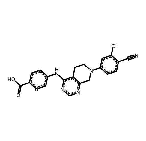 N#Cc1ccc(N2CCc3c(ncnc3Nc3ccc(C(=O)O)nc3)C2)cc1Cl